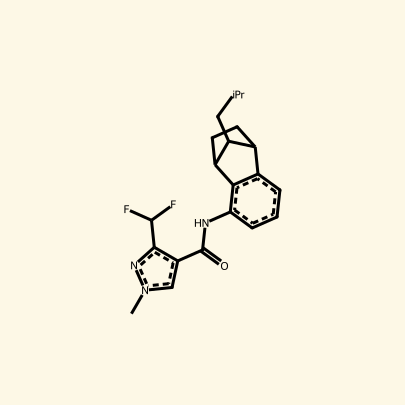 CC(C)CC1C2CCC1c1c(NC(=O)c3cn(C)nc3C(F)F)cccc12